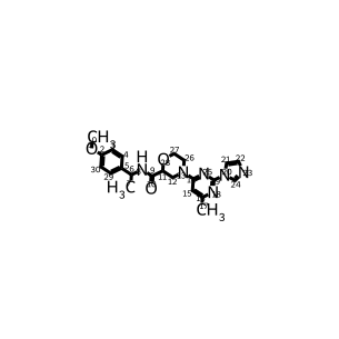 COc1ccc(C(C)NC(=O)C2CN(c3cc(C)nc(-n4ccnc4)n3)CCO2)cc1